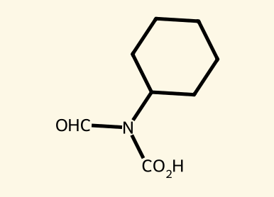 O=CN(C(=O)O)C1CCCCC1